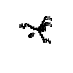 CCCCCCCCCC(CCCCCCCC)(CCCCCCCC)[NH][Ti+2][O]CC.[Cl-].[Cl-]